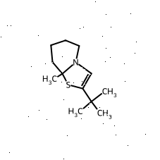 CC(C)(C)C1=CN2CCCCC2(C)S1